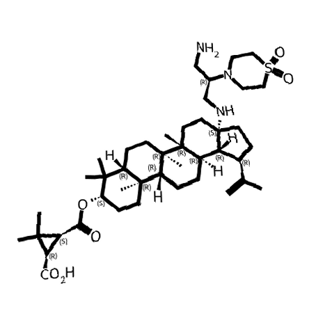 C=C(C)[C@@H]1CC[C@]2(NC[C@@H](CN)N3CCS(=O)(=O)CC3)CC[C@]3(C)[C@H](CC[C@@H]4[C@@]5(C)CC[C@H](OC(=O)[C@H]6[C@@H](C(=O)O)C6(C)C)C(C)(C)[C@@H]5CC[C@]43C)[C@@H]12